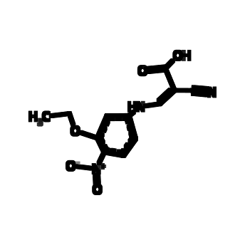 CCOc1cc(NC=C(C#N)C(=O)O)ccc1[N+](=O)[O-]